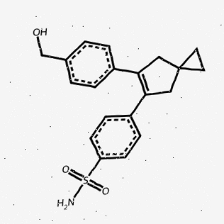 NS(=O)(=O)c1ccc(C2=C(c3ccc(CO)cc3)CC3(CC3)C2)cc1